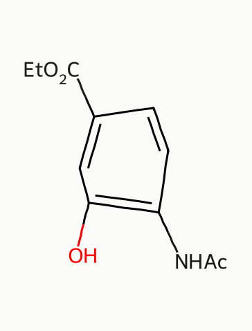 CCOC(=O)c1ccc(NC(C)=O)c(O)c1